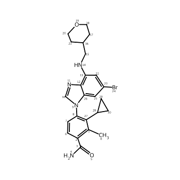 Cc1c(C(N)=O)ccc(-n2cnc3c(NCC4CCOCC4)cc(Br)cc32)c1C1CC1